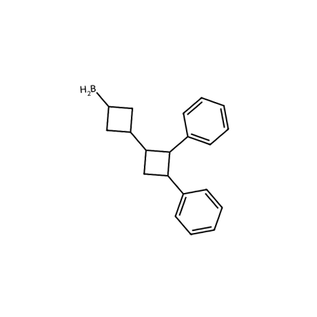 BC1CC(C2CC(c3ccccc3)C2c2ccccc2)C1